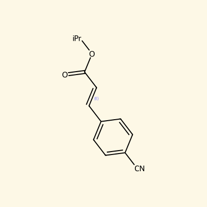 CC(C)OC(=O)/C=C/c1ccc(C#N)cc1